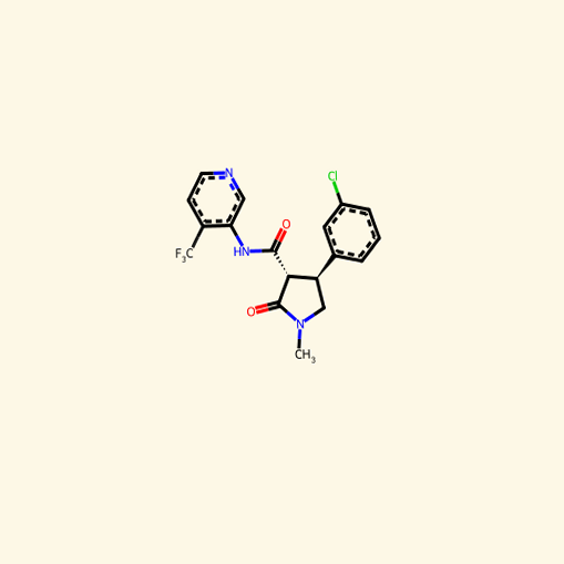 CN1C[C@H](c2cccc(Cl)c2)[C@@H](C(=O)Nc2cnccc2C(F)(F)F)C1=O